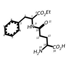 CCOC(=O)C(Cc1ccccc1)NC(=O)CCC(N)C(=O)O